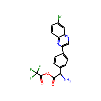 NC(C(=O)OC(=O)C(F)(F)F)c1ccc(-c2cnc3cc(Br)ccc3n2)cc1